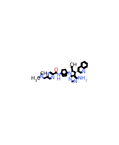 C#CC1[C@H](c2cnc3ccccc3c2)c2c(N)ncnc2N1C12CCC(NC(=O)c3cnc(CN(C)C)cn3)(CC1)C2